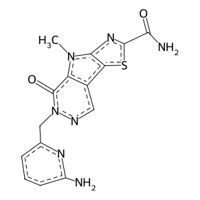 Cn1c2nc(C(N)=O)sc2c2cnn(Cc3cccc(N)n3)c(=O)c21